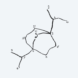 CC(C)C12CCC(C(C)C)(CC1)S2